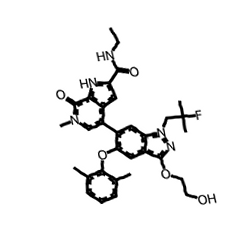 CCNC(=O)c1cc2c(-c3cc4c(cc3Oc3c(C)cccc3C)c(OCCO)nn4CC(C)(C)F)cn(C)c(=O)c2[nH]1